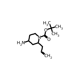 C=CCC1CC(N)CCN1C(=O)OC(C)(C)C